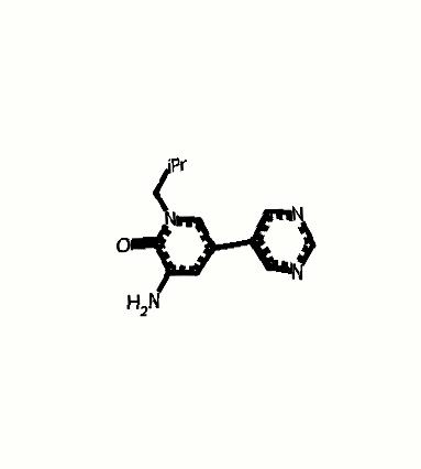 CC(C)Cn1cc(-c2cncnc2)cc(N)c1=O